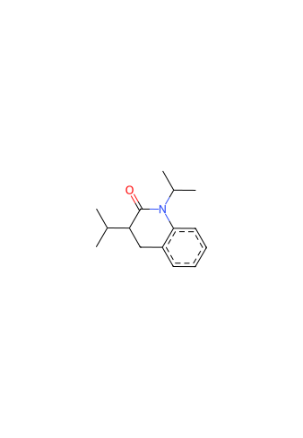 CC(C)C1Cc2ccccc2N(C(C)C)C1=O